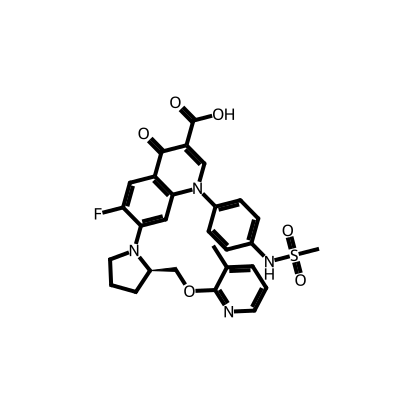 Cc1cccnc1OC[C@H]1CCCN1c1cc2c(cc1F)c(=O)c(C(=O)O)cn2-c1ccc(NS(C)(=O)=O)cc1